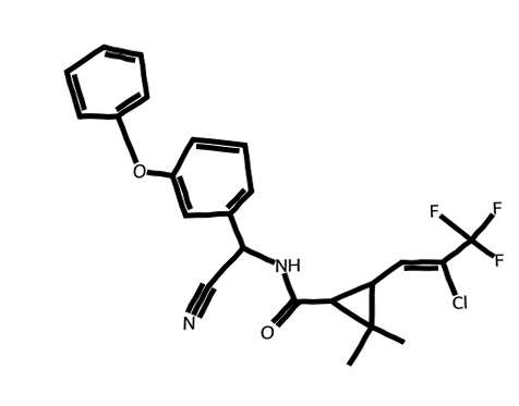 CC1(C)C(/C=C(\Cl)C(F)(F)F)C1C(=O)NC(C#N)c1cccc(Oc2ccccc2)c1